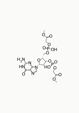 COC(=O)COP(=O)(O)OC[C@H]1O[C@@H](n2cnc3c(=O)[nH]c(N)nc32)CC1OP(=O)(O)OCC(=O)OC